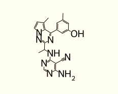 Cc1cc(O)cc(-c2nc(C(C)Nc3ncnc(N)c3C#N)nn3ccc(C)c23)c1